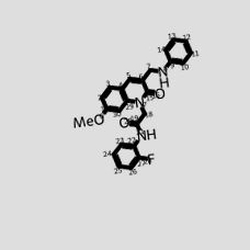 COc1ccc2cc(CNc3ccccc3)c(=O)n(CC(=O)Nc3ccccc3F)c2c1